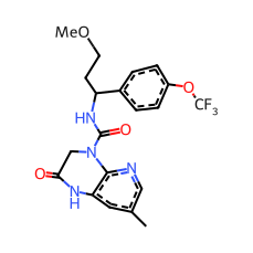 COCCC(NC(=O)N1CC(=O)Nc2cc(C)cnc21)c1ccc(OC(F)(F)F)cc1